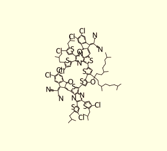 CC(C)CCCC(C)CCC1(CCC(C)CCCC(C)C)Oc2cc(-c3sc(/C=C4\C(=O)c5cc(Cl)c(Cl)cc5C4=C(C#N)C#N)c4nc(-c5cc(Cl)c(CC(C)C)s5)c(-c5cc(Cl)c(CC(C)C)s5)nc34)sc2-c2sc(-c3sc(/C=C4\C(=O)c5cc(Cl)c(Cl)cc5C4=C(C#N)C#N)c4nc(-c5cc(Cl)c(CC(C)C)s5)c(-c5cc(Cl)c(CC(C)C)s5)nc34)cc21